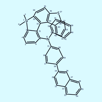 C[Si]1(C)c2cccc(N(c3ccccc3)c3ccc(-c4ccc5ccccc5c4)cc3)c2-c2c1ccc1sc3ccccc3c21